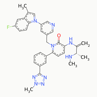 C=C(Nc1ccc(-c2cccc(-c3nnn(C)n3)c2)n(Cc2cncc(-n3cc(C)c4cc(F)ccc43)c2)c1=O)[C@H](C)NC